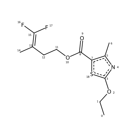 CCOc1nc(C)c(C(=O)OCCC(C)=C(F)F)s1